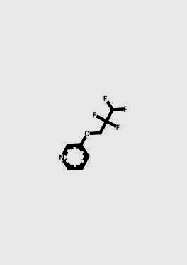 FC(F)C(F)(F)COc1cccnc1